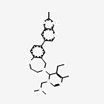 CCC1=C(C)N=CN(CN(C)C)C1N1CCOc2ccc(-c3cnc4[nH]c(C)nc4c3)cc2C1